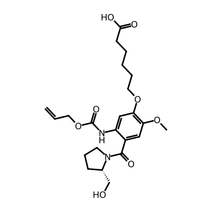 C=CCOC(=O)Nc1cc(OCCCCCC(=O)O)c(OC)cc1C(=O)N1CCC[C@H]1CO